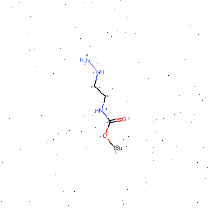 CC(C)(C)OC(=O)NCCNN